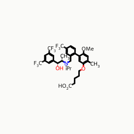 COc1cc(C)c(OCCCCC(=O)O)cc1-c1ccc(C(F)(F)F)cc1CN(C(C)C)[C@@H](C)[C@H](O)c1cc(C(F)(F)F)cc(C(F)(F)F)c1